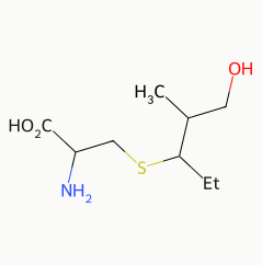 CCC(SCC(N)C(=O)O)C(C)CO